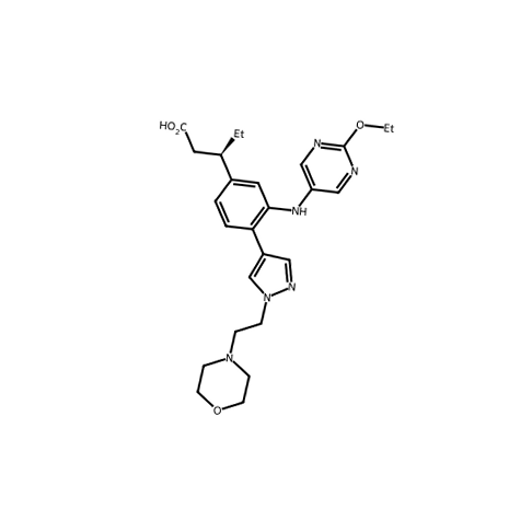 CCOc1ncc(Nc2cc([C@H](CC)CC(=O)O)ccc2-c2cnn(CCN3CCOCC3)c2)cn1